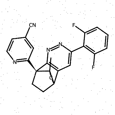 CC12CC13CC[C@]2(c1cc(C#N)ccn1)c1nnc(-c2c(F)cccc2F)cc13